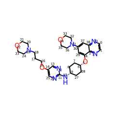 c1cnc2c(O[C@H]3CC[C@@H](Nc4ncc(OCCCN5CCOCC5)cn4)CC3)cc(N3CCOCC3)cc2n1